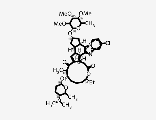 CC[C@H]1CCC[C@H](O[C@H]2CC[C@H](N(C)C)C(C)O2)[C@@H](C)C(=O)C2=C[C@H]3[C@@H]4C[C@H](O[C@@H]5OC(C)[C@H](OC)[C@@H](OC)C5OC)C[C@H]4c4c(nc5cc(Cl)ccn45)[C@H]3[C@@H]2CC(=O)O1